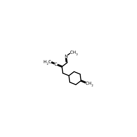 C=C=C(/C=N/C)CC1CCC(=C)CC1